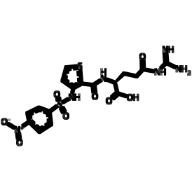 N=C(N)NC(=O)CC[C@H](NC(=O)c1sccc1NS(=O)(=O)c1ccc([N+](=O)[O-])cc1)C(=O)O